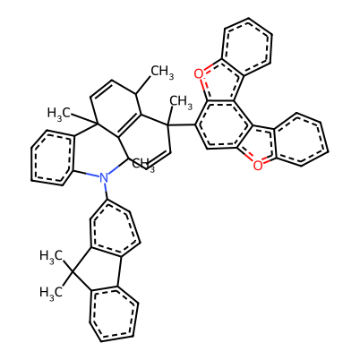 CC1C=CC2(C)C3=C1C(C)(c1cc4oc5ccccc5c4c4c1oc1ccccc14)C=CC3(C)N(c1ccc3c(c1)C(C)(C)c1ccccc1-3)c1ccccc12